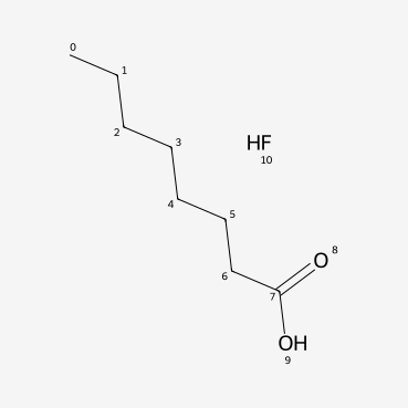 CCCCCCCC(=O)O.F